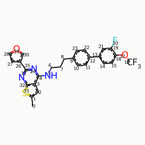 Cc1cc2c(NCCCc3ccc(-c4ccc(OC(F)(F)F)c(F)c4)cc3)nc(-c3ccoc3)nc2s1